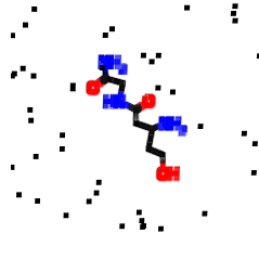 NC(=O)CNC(=O)CC(N)CCO